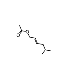 CC(=O)OC/C=C/CC(C)C